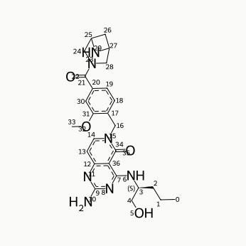 CCC[C@@H](CO)Nc1nc(N)nc2ccn(Cc3ccc(C(=O)N4CC5CC(C4)N5)cc3OC)c(=O)c12